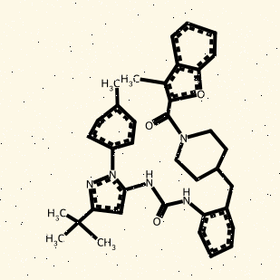 Cc1ccc(-n2nc(C(C)(C)C)cc2NC(=O)Nc2ccccc2CC2CCN(C(=O)c3oc4ccccc4c3C)CC2)cc1